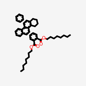 CCCCCCCCOC(=O)c1ccccc1C(=O)OCCCCCCCC.c1ccc2c(c1)ccc1c3c(ccc12)CCCC3.c1ccccc1